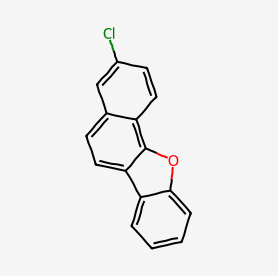 Clc1ccc2c(ccc3c4ccccc4oc23)c1